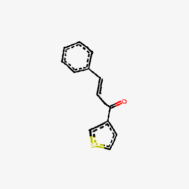 O=C(C=Cc1ccccc1)c1ccsc1